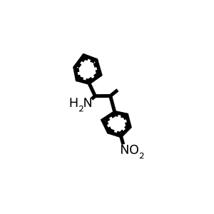 CC(c1ccc([N+](=O)[O-])cc1)C(N)c1ccccc1